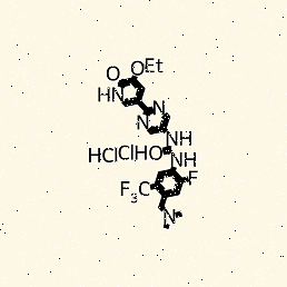 CCOc1cc(-c2ncc(NC(=O)Nc3cc(C(F)(F)F)c(CN(C)C)cc3F)cn2)c[nH]c1=O.Cl.Cl